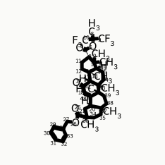 CC1(C)[C@@H](C(=O)OC(C)(C(F)(F)F)C(F)(F)F)CC[C@]2(C)[C@H]3C(=O)C=C4[C@@H]5C[C@@](C)(C(=O)OCc6ccccc6)CC[C@]5(C)CC[C@@]4(C)[C@]3(C)CC[C@@H]12